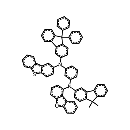 CC1(C)c2ccccc2-c2cc(N(c3cccc(N(c4ccc5c(c4)-c4ccccc4C5(c4ccccc4)c4ccccc4)c4ccc5sc6ccccc6c5c4)c3)c3cccc4oc5ccccc5c34)ccc21